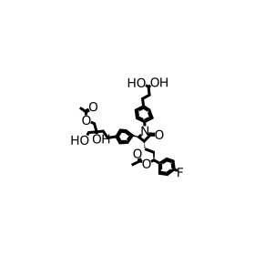 CC(=O)OCC(O)(CO)CCc1ccc([C@@H]2[C@@H](CC[C@H](OC(C)=O)c3ccc(F)cc3)C(=O)N2c2ccc(CCC(O)O)cc2)cc1